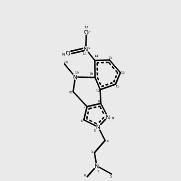 CN(C)CCn1cc2c(n1)-c1cccc([N+](=O)[O-])c1N(C)C2